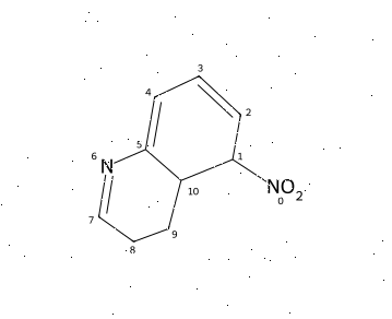 O=[N+]([O-])C1C=CC=C2N=CCCC21